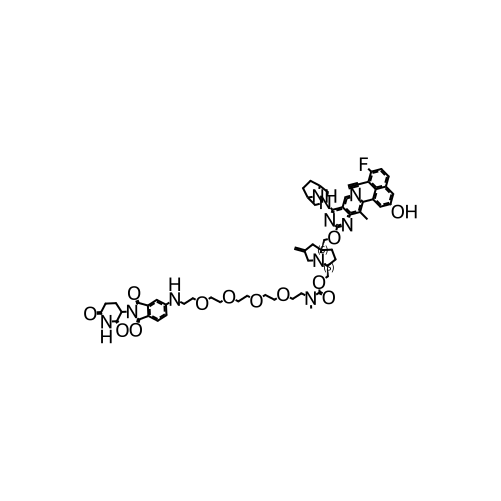 C#Cc1c(F)ccc2cc(O)cc(-c3ncc4c(N5CC6CCC(C5)N6)nc(OC[C@@]56CC[C@@H](COC(=O)N(C)CCOCCOCCOCCOCCNc7ccc8c(c7)C(=O)N(C7CCC(=O)NC7=O)C8=O)N5CC(=C)C6)nc4c3C)c12